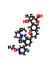 COc1cc(-c2ccc(C3CCc4ccc([C@H](O)[C@H](C)C(=O)O)cc4O3)c(CN3[C@H](C)CC[C@H]3C)c2)c(F)cn1